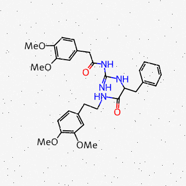 COc1ccc(CCNC(=O)C(Cc2ccccc2)NC(=N)NC(=O)Cc2ccc(OC)c(OC)c2)cc1OC